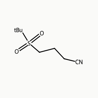 CC(C)(C)S(=O)(=O)CCCC#N